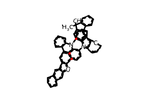 CC1(C)c2ccccc2-c2ccc(N(c3ccccc3-c3ccc4oc5cc6ccccc6cc5c4c3)c3ccccc3-n3c4c(c5ccccc53)CCC=C4)cc21